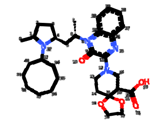 CC1CC[C@@H](C[C@H](C)n2c(=O)c(N3CCC4(OCCO4)C(C(=O)O)C3)nc3ccccc32)N1C1CCCCCCC1